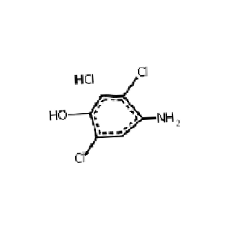 Cl.Nc1cc(Cl)c(O)cc1Cl